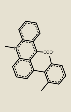 Cc1cccc(C)c1-c1cccc2c1c(C(=O)[O-])c1ccccc1[n+]2C